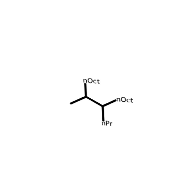 CCCCCCCCC(C)C(CCC)CCCCCCCC